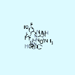 CCN(c1ccccc1CNc1nc(-c2cc(F)c(O)cc2CC(F)(F)F)nc2[nH]nc(C(N)=O)c12)S(=O)(=O)O